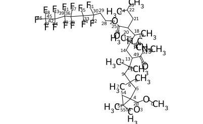 COC(=O)C1(CC(C)(C)CC(C)(C)C(CC(C)(C)C(C)C(CC(C)C)C(=O)OCCC(F)(F)C(F)(F)C(F)(F)C(F)(F)C(F)(F)C(F)(F)F)C(=O)N(C)C)CC1(C)C